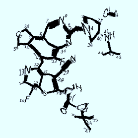 CO[C@H]1CN(c2ncc3c4c(c(-c5ncc(F)c6sc(NC(=O)OC(C)(C)C)c(C#N)c56)c(F)c3n2)COC4)C[C@H]1NC(C)C